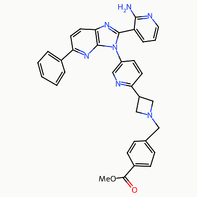 COC(=O)c1ccc(CN2CC(c3ccc(-n4c(-c5cccnc5N)nc5ccc(-c6ccccc6)nc54)cn3)C2)cc1